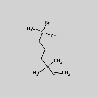 C=C[Si](C)(C)CCC[Si](C)(C)Br